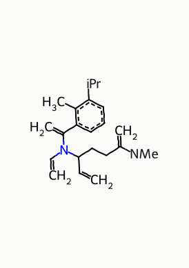 C=CC(CCC(=C)NC)N(C=C)C(=C)c1cccc(C(C)C)c1C